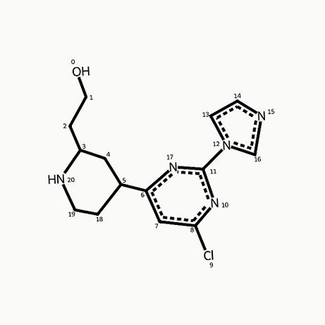 OCCC1CC(c2cc(Cl)nc(-n3ccnc3)n2)CCN1